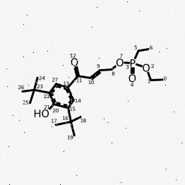 CCOP(=O)(CC)OCC=CC(=O)c1cc(C(C)(C)C)c(O)c(C(C)(C)C)c1